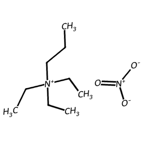 CCC[N+](CC)(CC)CC.O=[N+]([O-])[O-]